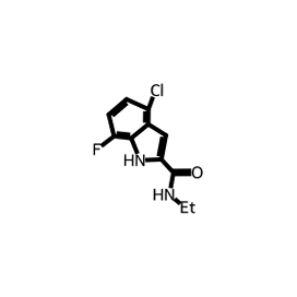 CCNC(=O)c1cc2c(Cl)ccc(F)c2[nH]1